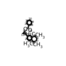 CC1(C)CCC(C)(C)c2cc(C3CC3OC(=O)c3ccccc3)ccc21